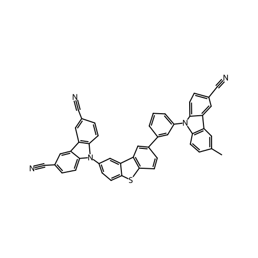 Cc1ccc2c(c1)c1cc(C#N)ccc1n2-c1cccc(-c2ccc3sc4ccc(-n5c6ccc(C#N)cc6c6cc(C#N)ccc65)cc4c3c2)c1